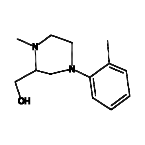 Cc1ccccc1N1CCN(C)C(CO)C1